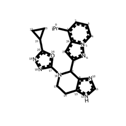 CC(C)c1cccn2nc(C3c4nc[nH]c4CCN3c3nnc(C4CC4)o3)cc12